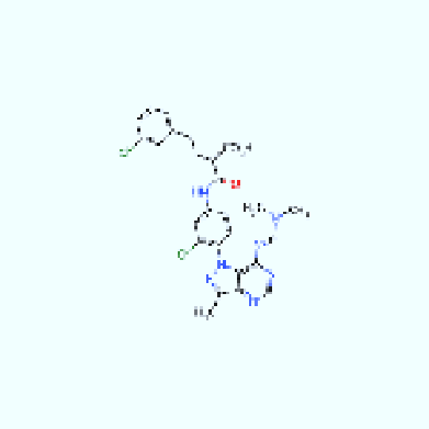 Cc1nn(-c2ccc(NC(=O)[C@@H](CCc3cccc(Cl)c3)C(=O)O)cc2Cl)c2c(/N=C/N(C)C)ncnc12